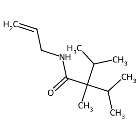 C=CCNC(=O)C(C)(C(C)C)C(C)C